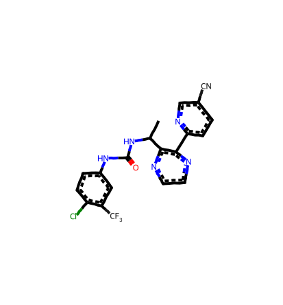 CC(NC(=O)Nc1ccc(Cl)c(C(F)(F)F)c1)c1nccnc1-c1ccc(C#N)cn1